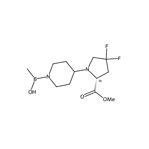 COC(=O)[C@H]1CC(F)(F)CN1C1CCN(B(C)O)CC1